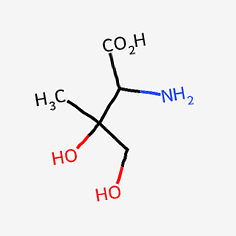 CC(O)(CO)C(N)C(=O)O